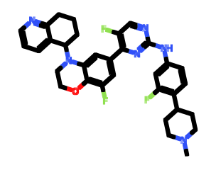 CN1CCC(c2ccc(Nc3ncc(F)c(-c4cc(F)c5c(c4)N(C4CCCc6ncccc64)CCO5)n3)cc2F)CC1